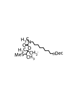 [CH2]C(C)(OC(=O)N(C)CCCCCCCCCCCCCCCCCC)C(C)SC